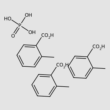 Cc1ccccc1C(=O)O.Cc1ccccc1C(=O)O.Cc1ccccc1C(=O)O.O=P(O)(O)O